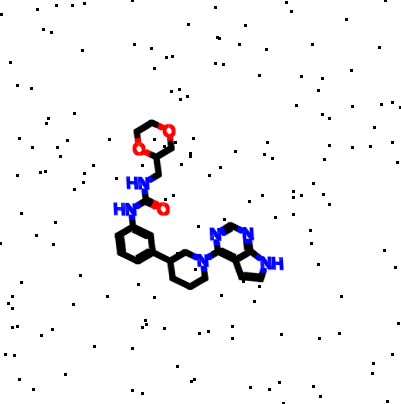 O=C(NCC1COCCO1)Nc1cccc(C2CCCN(c3ncnc4[nH]ccc34)C2)c1